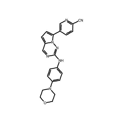 N#Cc1ccc(-c2ccc3cnc(Nc4ccc(N5CCOCC5)cc4)nn23)cn1